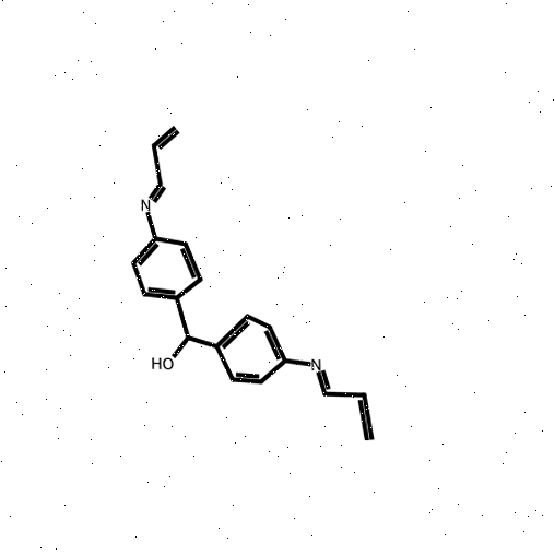 C=CC=Nc1ccc(C(O)c2ccc(N=CC=C)cc2)cc1